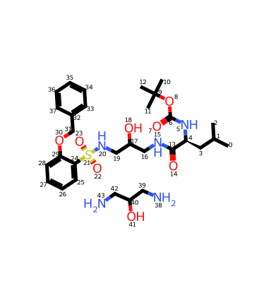 CC(C)C[C@H](NC(=O)OC(C)(C)C)C(=O)NCC(O)CNS(=O)(=O)c1ccccc1OCc1ccccc1.NCC(O)CN